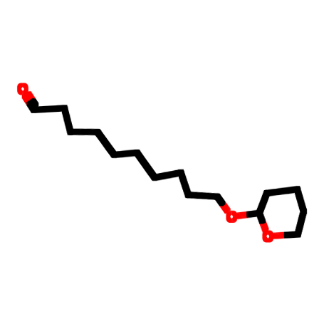 O=CCCCCCCCCCOC1CCCCO1